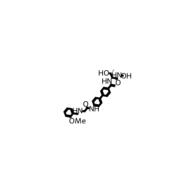 C=C(N[C@H](C(=O)NO)[C@@H](C)O)c1ccc(-c2ccc(NC(=O)CNCc3ccccc3OC)cc2)cc1